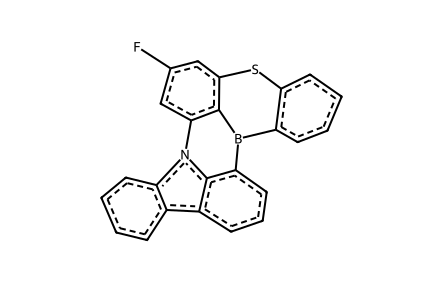 Fc1cc2c3c(c1)-n1c4ccccc4c4cccc(c41)B3c1ccccc1S2